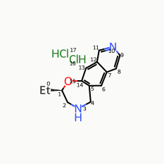 CC[C@@H]1CNCc2cc3ccncc3cc2O1.Cl.Cl